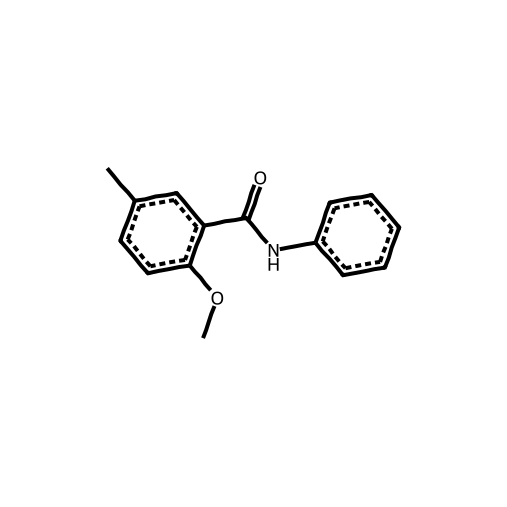 COc1ccc(C)cc1C(=O)Nc1ccccc1